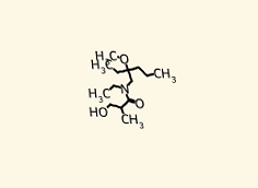 CCCC(CC)(CN(CC)C(=O)C(C)CO)OC